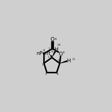 CCCCC[C@H]1C2CC[C@H]1OC(=O)C2